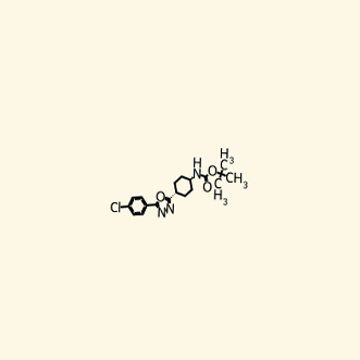 CC(C)(C)OC(=O)N[C@H]1CC[C@H](c2nnc(-c3ccc(Cl)cc3)o2)CC1